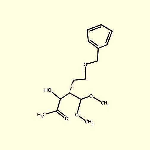 COC(OC)[C@@H](CCOCc1ccccc1)C(O)C(C)=O